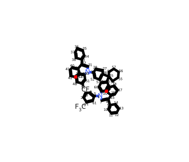 FC(F)(F)c1cccc(N(C=C(c2ccccc2)c2ccccc2)c2ccc(C3(c4ccc(N(C=C(c5ccccc5)c5ccccc5)c5cccc(C(F)(F)F)c5)cc4)CCCCC3)cc2)c1